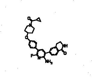 Nc1nc(F)c(-c2ccc(OC3CCN(C(=O)C4CC4)CC3)cc2)cc1-c1ccc2c(c1)CCNC2=O